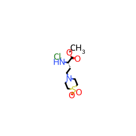 COC(=O)[C@H](CCN1CCS(=O)(=O)CC1)NCl